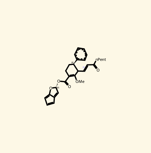 CCCCCC(=O)/C=C/C1C(OC)=C(C(=O)O[C@@H]2C=C3C=CC=C3O2)CC[C@H]1c1ccccc1